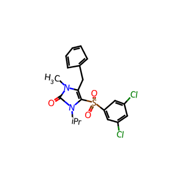 CC(C)n1c(S(=O)(=O)c2cc(Cl)cc(Cl)c2)c(Cc2ccccc2)n(C)c1=O